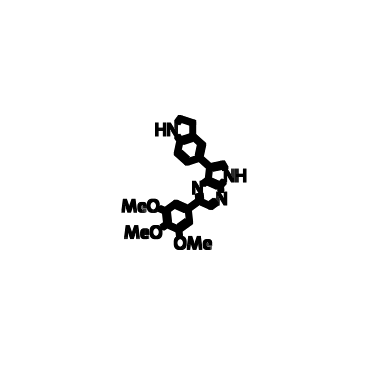 COc1cc(-c2cnc3[nH]cc(-c4ccc5c(c4)CCN5)c3n2)cc(OC)c1OC